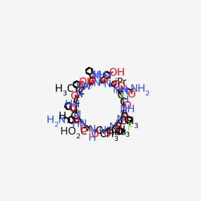 CCCC[C@H]1C(=O)N(C)CC(=O)N[C@@H](CC(=O)O)C(=O)N[C@@H](Cc2ccc(CN)cc2)C(=O)N(C)[C@@H](Cc2ccccc2)C(=O)NCC(=O)N(Cc2cc(O)ccc2C)CC(=O)N[C@@H](Cc2c[nH]c3ccccc23)C(=O)N[C@@H](Cc2ccc(O)cc2)C(=O)N[C@@H](CC(C)C)C(=O)N[C@H](C(=O)NCC(N)=O)CSCC(=O)N[C@@H](Cc2ccc(F)cc2)C(=O)N(C)[C@@H](Cc2ccccc2)C(=O)N1C